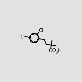 CC(C)(CCc1ccc(Cl)cc1Cl)C(=O)O